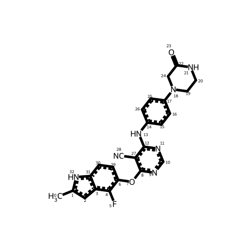 Cc1cc2c(F)c(Oc3ncnc(Nc4ccc(N5CCNC(=O)C5)cc4)c3C#N)ccc2[nH]1